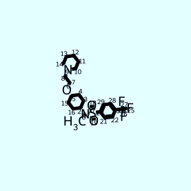 CN(C1CCC(OCCN2CCCCC2)CC1)S(=O)(=O)c1ccc(C(F)(F)F)cc1